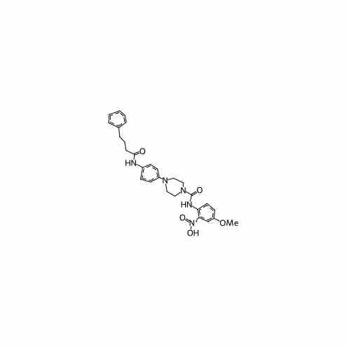 COc1ccc(NC(=O)N2CCN(c3ccc(NC(=O)CCCc4ccccc4)cc3)CC2)c([N+](=O)O)c1